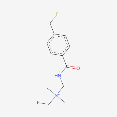 C[N+](C)(CI)CNC(=O)c1ccc(CF)cc1